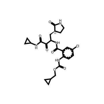 O=C(Nc1ccc(Cl)cc1C(=O)NC(C[C@@H]1CCNC1=O)C(=O)C(=O)NC1CC1)OCC1CC1